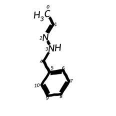 C/C=N/NCc1ccccc1